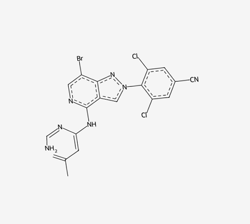 C=C(C)/C=C(\N=C/N)Nc1ncc(Br)c2nn(-c3c(Cl)cc(C#N)cc3Cl)cc12